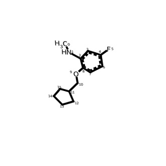 CNc1cc(F)ccc1OCC1CCCC1